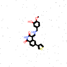 COc1ccc(CN/C=C2\C(=O)NC(=O)c3ccc(-c4ccsc4)cc32)cc1O